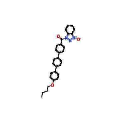 CCCCOc1ccc(-c2ccc(-c3ccc(C(=O)n4n[n+]([O-])c5ccccc54)cc3)cc2)cc1